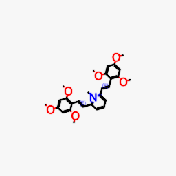 COc1cc(OC)c(/C=C/c2cccc(/C=C/c3c(OC)cc(OC)cc3OC)[n+]2C)c(OC)c1